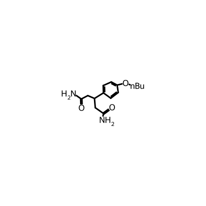 CCCCOc1ccc(C(CC(N)=O)CC(N)=O)cc1